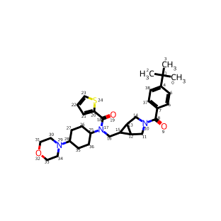 CC(C)(C)c1ccc(C(=O)N2CC3C(C2)C3CN(C(=O)c2cccs2)C2CCC(N3CCOCC3)CC2)cc1